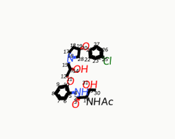 CC(=O)NC(C(=O)Nc1ccccc1OCC(O)CN1CCC(Oc2ccc(Cl)cc2)C1)C(C)O